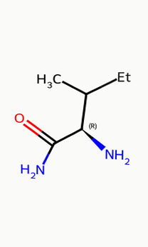 CCC(C)[C@@H](N)C(N)=O